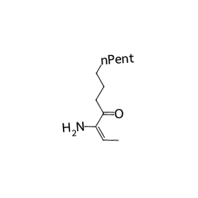 C/C=C(/N)C(=O)CCCCCCCC